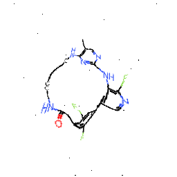 Cc1cnc2nc1NCCCCCNC(=O)c1c(F)cc(cc1F)-c1cnc(F)c(c1)N2